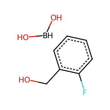 OBO.OCc1ccccc1F